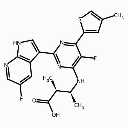 Cc1csc(-c2nc(-c3c[nH]c4ncc(F)cc34)nc(N[C@@H](C)[C@H](C)C(=O)O)c2F)c1